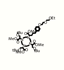 CCOCCOCCOc1ccc(CCCC(C(=O)OC)N2CCN(C(COC(C)(C)C)C(=O)OC)CCN(C(COC(C)(C)C)C(=O)OC)CCN(C(COC(C)(C)C)C(=O)OC)CC2)cc1